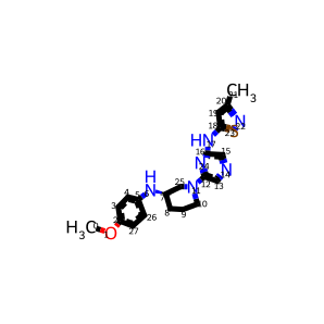 COc1ccc(N[C@@H]2CCCN(c3cncc(Nc4cc(C)ns4)n3)C2)cc1